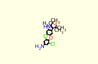 CC1(C)COC(C)(C)c2[nH]c3ccc(Oc4c(Cl)cc(N)cc4Cl)cc3c21